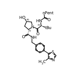 CCCCCC(=O)N[C@H](C(=O)N1C[C@H](O)C[C@H]1C(=O)NCc1ccc(-c2scnc2C)cc1)C(C)(C)C